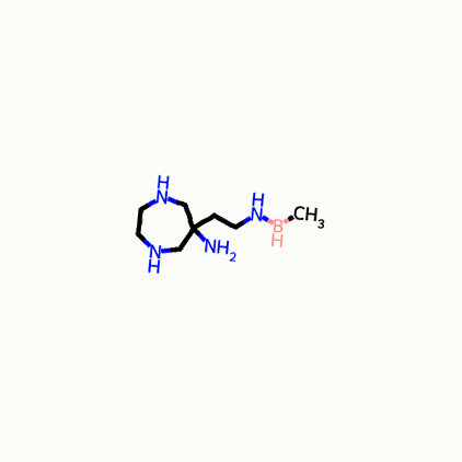 CBNCCC1(N)CNCCNC1